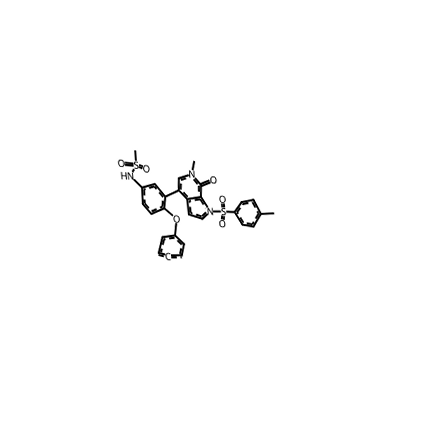 Cc1ccc(S(=O)(=O)n2ccc3c(-c4cc(NS(C)(=O)=O)ccc4Oc4ccccc4)cn(C)c(=O)c32)cc1